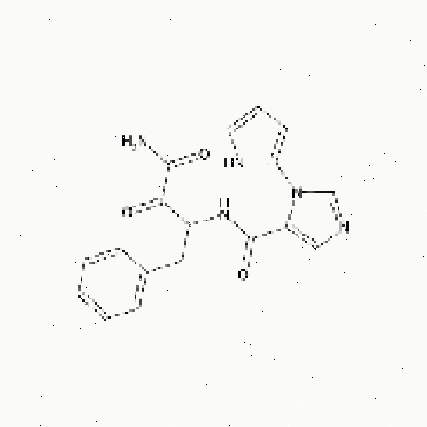 NC(=O)C(=O)C(Cc1ccccc1)NC(=O)c1cncn1-c1ccc[nH]1